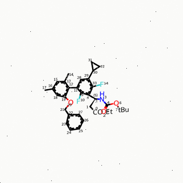 CCOC(=O)C[C@H](NC(=O)OC(C)(C)C)c1c(F)c(-c2c(C)cc(C)cc2OCc2ccccc2)cc(C2CC2)c1F